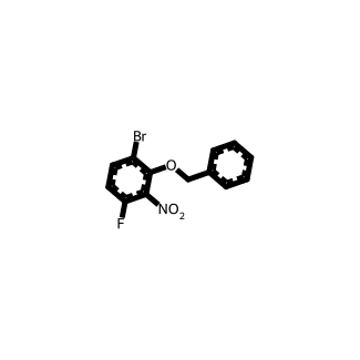 O=[N+]([O-])c1c(F)ccc(Br)c1OCc1ccccc1